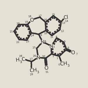 Cc1c2n(ccc1=O)N(C1c3ccc(Cl)cc3COc3ccccc31)CN(C(C)C)C2=O